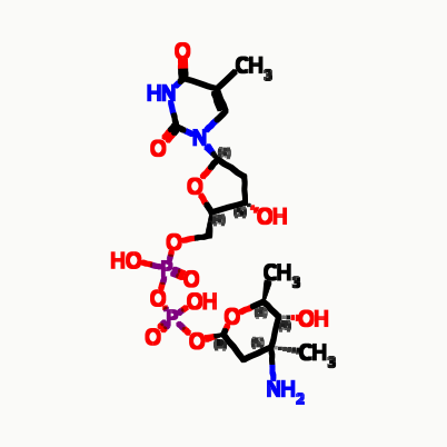 Cc1cn([C@H]2C[C@H](O)[C@@H](COP(=O)(O)OP(=O)(O)O[C@@H]3C[C@](C)(N)[C@@H](O)[C@H](C)O3)O2)c(=O)[nH]c1=O